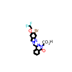 O=C(O)Cn1nc(Cn2cc3cc(OCC(F)F)c(Br)cc3n2)c2ccccc2c1=O